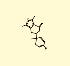 C=C1CC(C2(C)C=CC(F)=CC2)Cc2c(C)sc(C)c21